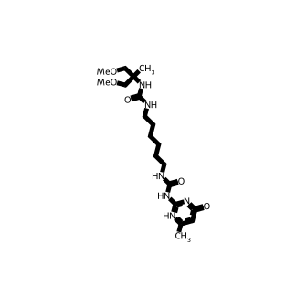 COCC(C)(COC)NC(=O)NCCCCCCNC(=O)Nc1nc(=O)cc(C)[nH]1